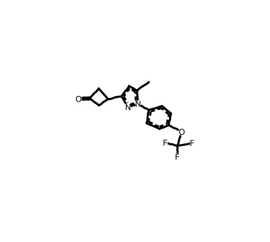 Cc1cc(C2CC(=O)C2)nn1-c1ccc(OC(F)(F)F)cc1